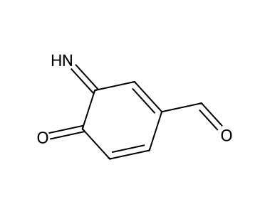 N=C1C=C(C=O)C=CC1=O